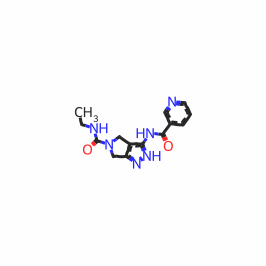 CCNC(=O)N1Cc2n[nH]c(NC(=O)c3cccnc3)c2C1